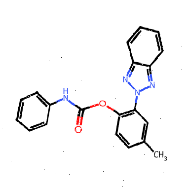 Cc1ccc(OC(=O)Nc2ccccc2)c(-n2nc3ccccc3n2)c1